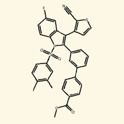 COC(=O)c1ccc(-c2cccc(-c3c(-c4ccsc4C#N)c4cc(F)ccc4n3S(=O)(=O)c3ccc(C)c(C)c3)c2)cc1